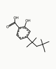 CC(C)(C)CC(C)(C)c1ccc(C(=O)O)c(O)c1